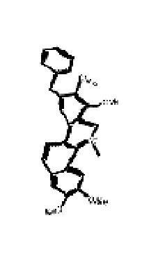 COc1cc2ccc3c4cc(Cc5ccccc5)c(OC)c(OC)c4c[n+](C)c3c2cc1OC